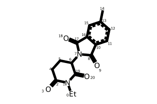 CCN1C(=O)CCC(N2C(=O)c3ccc(C)cc3C2=O)C1=O